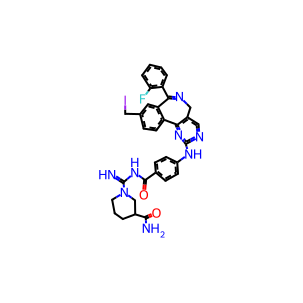 N=C(NC(=O)c1ccc(Nc2ncc3c(n2)-c2ccc(CI)cc2C(c2ccccc2F)=NC3)cc1)N1CCCC(C(N)=O)C1